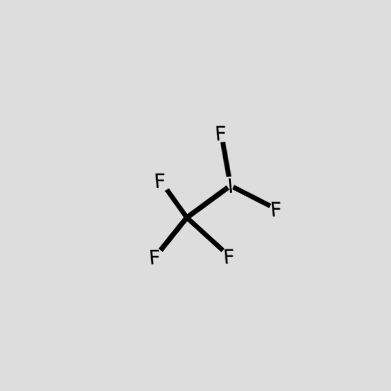 FI(F)C(F)(F)F